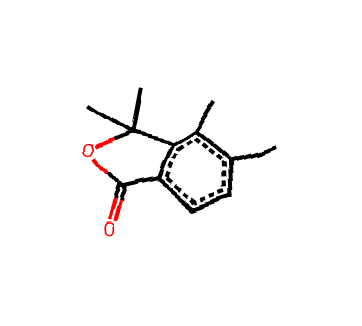 Cc1ccc2c(c1C)C(C)(C)OC2=O